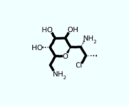 C[C@H](Cl)[C@@H](N)[C@H]1OC(CN)[C@H](O)C(O)C1O